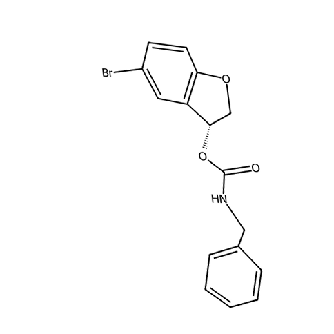 O=C(NCc1ccccc1)O[C@H]1COc2ccc(Br)cc21